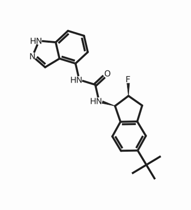 CC(C)(C)c1ccc2c(c1)C[C@H](F)[C@@H]2NC(=O)Nc1cccc2[nH]ncc12